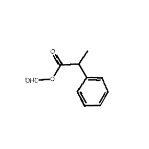 CC(C(=O)OC=O)c1ccccc1